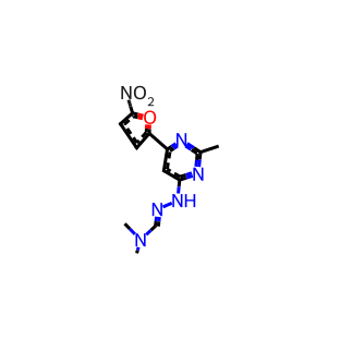 Cc1nc(NN=CN(C)C)cc(-c2ccc([N+](=O)[O-])o2)n1